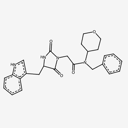 O=C1NC(Cc2c[nH]c3ccccc23)C(=O)N1CC(=O)N(Cc1ccccc1)C1CCOCC1